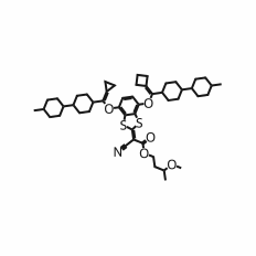 COC(C)CCOC(=O)/C(C#N)=C1\Sc2c(OC(=C3CCC3)C3CCC(C4CCC(C)CC4)CC3)ccc(OC(=C3CC3)C3CCC(C4CCC(C)CC4)CC3)c2S1